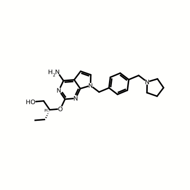 CC[C@H](CO)Oc1nc(N)c2ccn(Cc3ccc(CN4CCCC4)cc3)c2n1